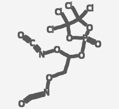 O=C=NOCC(ON=C=O)OP1(=O)OC(Cl)(Cl)C(Cl)(Cl)O1